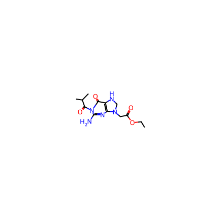 CCOC(=O)CN1CNc2c1nc(N)n(C(=O)C(C)C)c2=O